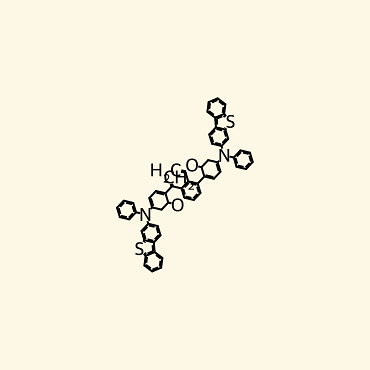 C=C1C2=CC=C(N(c3ccccc3)c3ccc4c(c3)sc3ccccc34)CC2Oc2ccc3c(c21)C(=C)OC1CC(N(c2ccccc2)c2ccc4c(c2)sc2ccccc24)=CC=C31